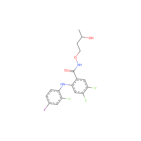 CC(O)CCONC(=O)c1cc(F)c(F)cc1Nc1ccc(I)cc1F